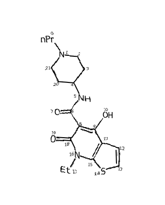 CCCN1CCC(NC(=O)c2c(O)c3ccsc3n(CC)c2=O)CC1